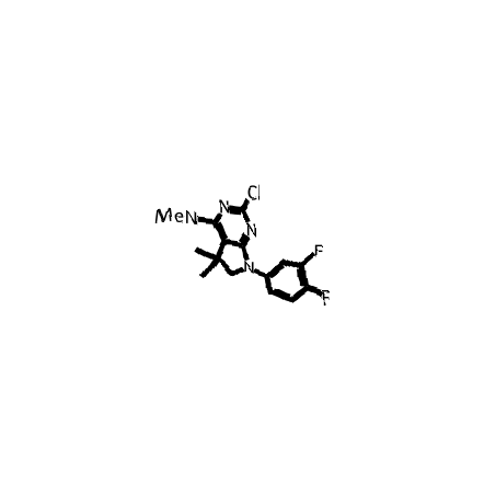 CNc1nc(Cl)nc2c1C(C)(C)CN2c1ccc(F)c(F)c1